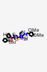 COc1ccc(CNc2nccn3c(C4CN(C(=O)O)C(CO[Si](c5ccccc5)(c5ccccc5)C(C)(C)C)CO4)nc(Br)c23)c(OC)c1